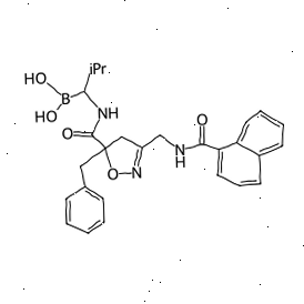 CC(C)C(NC(=O)C1(Cc2ccccc2)CC(CNC(=O)c2cccc3ccccc23)=NO1)B(O)O